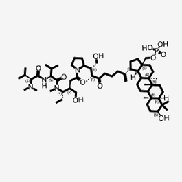 C=C(CCCC(=O)[C@H](C)[C@@H](CO)C1CCCN1C(=O)C[C@@H](CO)[C@H](CC)N(C)C(=O)[C@@H](NC(=O)[C@H](C(C)C)N(C)C)C(C)C)[C@@H]1CC[C@]2(COP(=O)(O)O)CC[C@]3(C)C(CCC4[C@@]5(C)CC[C@H](O)C(C)(C)[C@@H]5CC[C@]43C)[C@@H]12